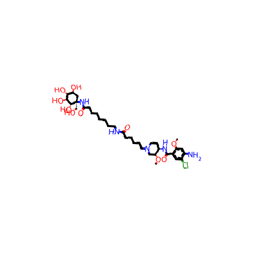 COc1cc(N)c(Cl)cc1C(=O)N[C@@H]1CCN(CCCCCC(=O)NCCCCCCCC(=O)N[C@]2(CO)C[C@H](O)[C@H](O)[C@H](O)[C@H]2O)C[C@@H]1OC